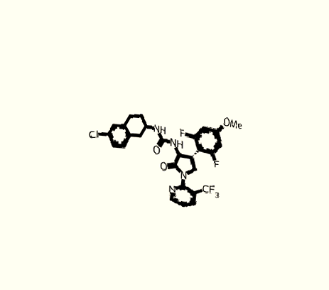 COc1cc(F)c([C@@H]2CN(c3ncccc3C(F)(F)F)C(=O)C2NC(=O)NC2CCc3cc(Cl)ccc3C2)c(F)c1